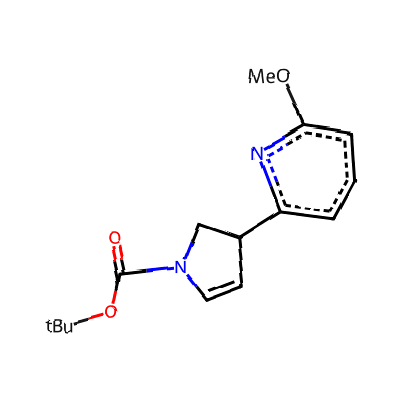 COc1cccc(C2C=CN(C(=O)OC(C)(C)C)C2)n1